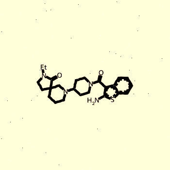 CCN1CCC2(CCCN(C3CCN(C(=O)c4c(N)sc5ccccc45)CC3)C2)C1=O